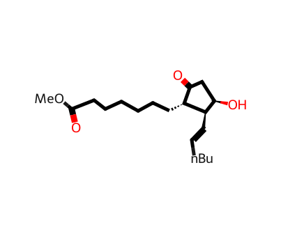 CCCCC=C[C@@H]1[C@H](O)CC(=O)[C@H]1CCCCCCC(=O)OC